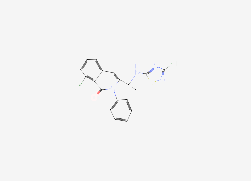 C[C@H](Nc1nc(Cl)ns1)c1cc2cccc(Cl)c2c(=O)n1-c1ccccc1